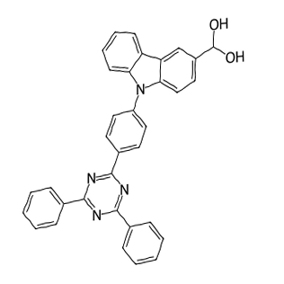 OC(O)c1ccc2c(c1)c1ccccc1n2-c1ccc(-c2nc(-c3ccccc3)nc(-c3ccccc3)n2)cc1